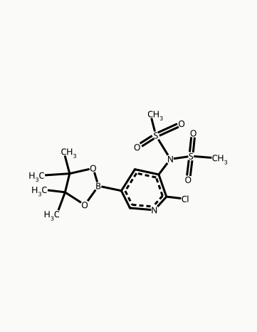 CC1(C)OB(c2cnc(Cl)c(N(S(C)(=O)=O)S(C)(=O)=O)c2)OC1(C)C